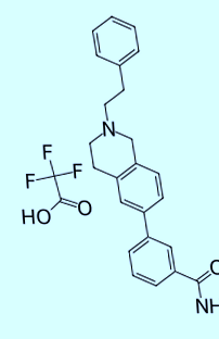 NC(=O)c1cccc(-c2ccc3c(c2)CCN(CCc2ccccc2)C3)c1.O=C(O)C(F)(F)F